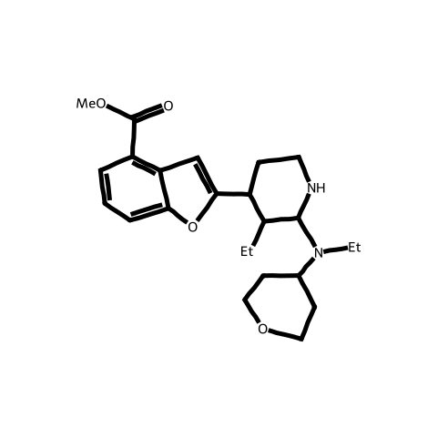 CCC1C(c2cc3c(C(=O)OC)cccc3o2)CCNC1N(CC)C1CCOCC1